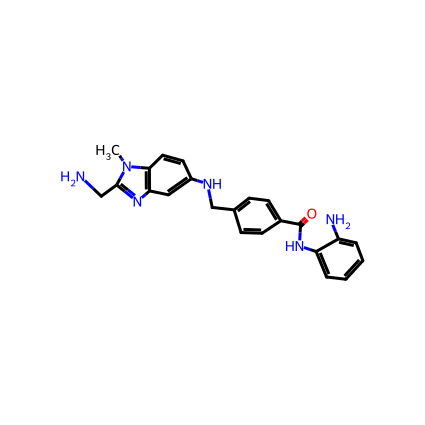 Cn1c(CN)nc2cc(NCc3ccc(C(=O)Nc4ccccc4N)cc3)ccc21